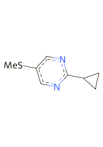 CSc1cnc(C2CC2)nc1